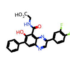 O=C(O)CNC(=O)c1c(O)c(-c2ccccc2)cc2ncc(-c3ccc(F)c(F)c3)nc12